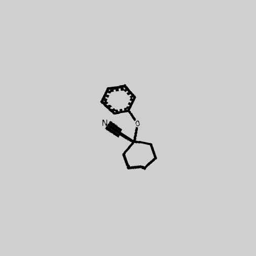 N#CC1(Oc2ccccc2)CCCCC1